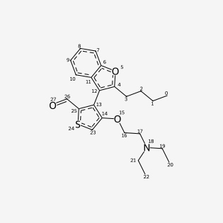 CCCCc1oc2ccccc2c1-c1c(OCCN(CC)CC)csc1C=O